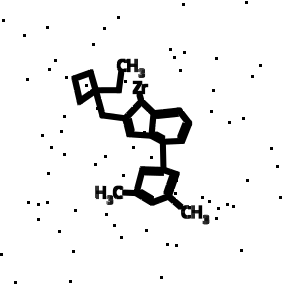 CCC1(CC2=Cc3c(-c4cc(C)cc(C)c4)cccc3[CH]2[Zr])CCC1